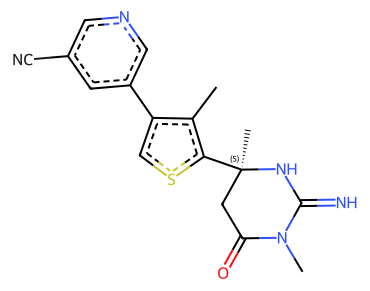 Cc1c(-c2cncc(C#N)c2)csc1[C@]1(C)CC(=O)N(C)C(=N)N1